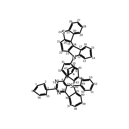 c1ccc(-c2nc(-c3ccc(-n4c5ccccc5c5c6c(ccc54)sc4ccccc46)cc3)c3c(n2)-c2ccccc2[Si]3(c2ccccc2)c2ccccc2)cc1